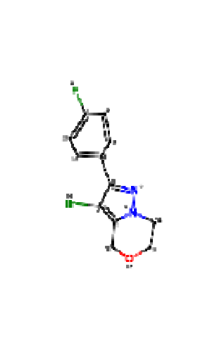 Fc1ccc(-c2nn3c(c2Br)COCC3)cc1